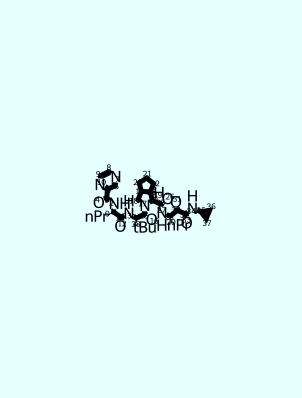 CCC[C@H](NC(=O)c1cnccn1)C(=O)N[C@H](C(=O)N1CC2CCC[C@@H]2C1C(=O)N[C@@H](CCC)C(=O)C(=O)NC1CC1)C(C)(C)C